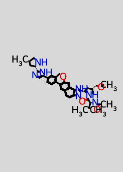 COC[C@H]1C[C@@H](c2nc3ccc4cc5c(cc4c3[nH]2)OCc2cc(-c3cnc([C@@H]4C[C@H](C)CN4)[nH]3)ccc2-5)N(C(=O)[C@@H](NC(C)=O)C(C)C)C1